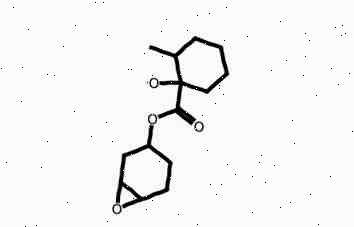 CC1CCCCC1([O])C(=O)OC1CCC2OC2C1